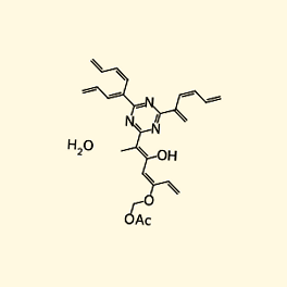 C=C/C=C\C(=C)c1nc(/C(C)=C(O)/C=C(\C=C)OCOC(C)=O)nc(C(/C=C\C=C)=C/C=C)n1.O